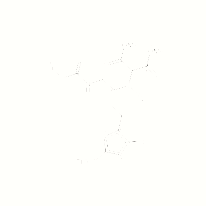 CCOC(=O)c1cc(C)c(CC[C@H](CNC(=O)OC(C)(C)C)[S+]([O-])C(C(=O)OC)C(=O)OC)s1